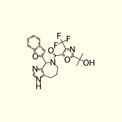 CC(C)(O)c1nc(C(F)(F)F)c(C(=O)N2CCCc3[nH]cnc3C2c2cc3ccccc3o2)o1